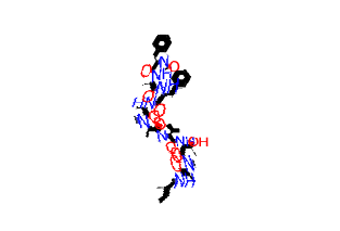 CC[C@H](C)CNC(=O)[C@H](C)N(C)C(=O)[C@@H](NC(=O)[C@H](C(C)C)N(C)C(=O)[C@@H](C)N(C)C(=O)[C@@H](C)NC(=O)[C@H](Cc1ccccc1)NC(=O)[C@H](C)NC(=O)[C@H](Cc1ccccc1)N(C)C=O)[C@@H](C)O